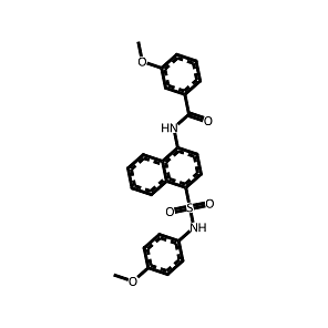 COc1ccc(NS(=O)(=O)c2ccc(NC(=O)c3cccc(OC)c3)c3ccccc23)cc1